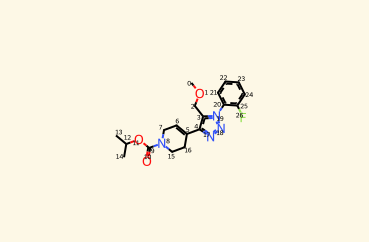 COCc1c(C2=CCN(C(=O)OC(C)C)CC2)nnn1-c1ccccc1F